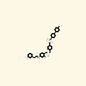 Cc1ccc(-c2ccc(-c3nc(-c4ccc(CN(CC(=O)O)C(=O)c5ccc(NC(=O)Cc6cccc(N)c6)cc5)cc4)no3)cc2)cc1